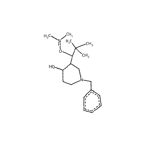 C[SiH](C)OC(C1CN(Cc2ccccc2)CCC1O)C(C)(C)C